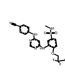 CNS(=O)(=O)c1ccc(OCC(F)(F)F)c(Nc2cc(Nc3ccc(C#N)cc3)ncn2)c1